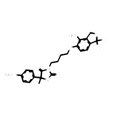 CCCc1c(OCCCCN2C(=O)NC(C)(c3ccc(OC)cc3)C2=O)ccc2c1COC2(C(F)(F)F)C(F)(F)F